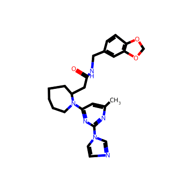 Cc1cc(N2CCCCCC2CC(=O)NCc2ccc3c(c2)OCO3)nc(-n2ccnc2)n1